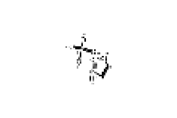 O=S(=O)([O-])[O-].[C+]1=NC=CO1.[H+]